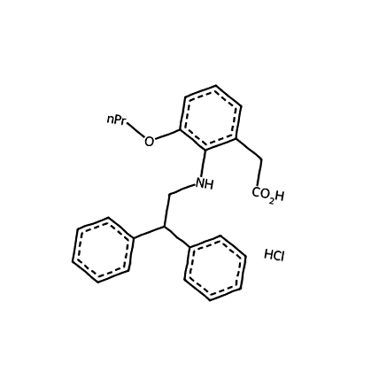 CCCOc1cccc(CC(=O)O)c1NCC(c1ccccc1)c1ccccc1.Cl